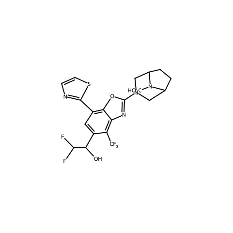 O=C(O)N1C2CCC1CN(c1nc3c(C(F)(F)F)c(C(O)C(F)F)cc(-c4nccs4)c3o1)C2